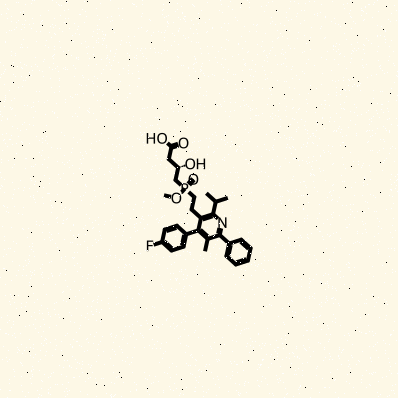 COP(=O)(CCc1c(C(C)C)nc(-c2ccccc2)c(C)c1-c1ccc(F)cc1)C[C@@H](O)CC(=O)O